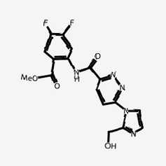 COC(=O)c1cc(F)c(F)cc1NC(=O)c1ccc(-n2ccnc2CO)nn1